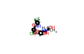 CC(C)(O)CNC(=O)C[C@]1(O)CC[C@H](CS(=O)(=O)c2cc(C(=O)Nc3ccc(F)c(F)c3)ccc2Cl)CC1